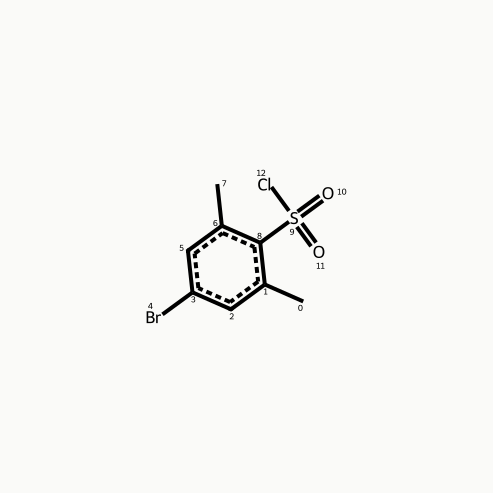 Cc1cc(Br)cc(C)c1S(=O)(=O)Cl